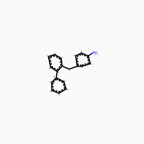 Nc1ccc(Cc2ccccc2-c2ccccc2)cc1